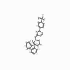 O=C1N(Cc2nc(-c3ccc(C(F)(F)F)cc3)no2)CCCC1(c1ccccc1)c1ccccc1